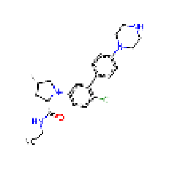 C[C@H]1C[C@@H](C(=O)NCC#N)N(c2ccc(Cl)c(-c3ccc(N4CCNCC4)cc3)c2)C1